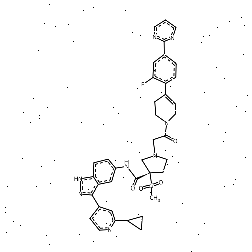 CS(=O)(=O)[C@@]1(C(=O)Nc2ccc3[nH]nc(-c4ccnc(C5CC5)c4)c3c2)CCN(CC(=O)N2CC=C(c3ccc(-c4ncccn4)cc3F)CC2)C1